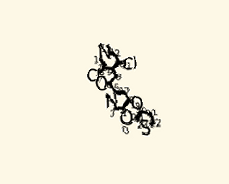 COc1cnc(C(=O)Cc2c(Cl)cncc2Cl)cc1OC1CCSC1